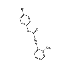 Cc1ccccc1C#CC(=O)Oc1ccc(Br)cc1